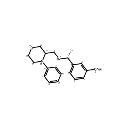 COc1cccc([C@@H](C)NCC2COCCN2c2ccccc2)c1